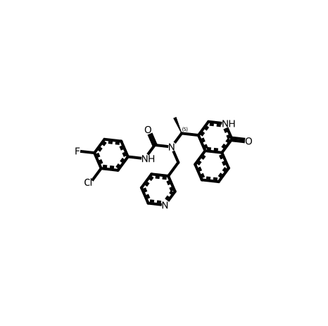 C[C@@H](c1c[nH]c(=O)c2ccccc12)N(Cc1cccnc1)C(=O)Nc1ccc(F)c(Cl)c1